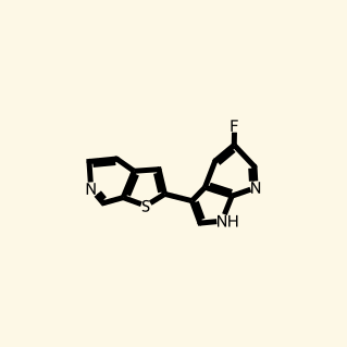 Fc1cnc2[nH]cc(-c3cc4ccncc4s3)c2c1